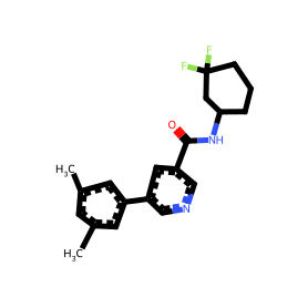 Cc1cc(C)cc(-c2cncc(C(=O)NC3CCCC(F)(F)C3)c2)c1